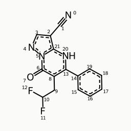 N#Cc1cnn2c(=O)c(CC(F)F)c(-c3ccccc3)[nH]c12